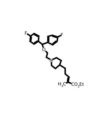 CCOC(=O)C(C)=CCCC1CCN(CCOC(c2ccc(F)cc2)c2ccc(F)cc2)CC1